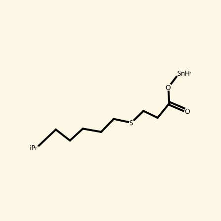 CC(C)CCCCCSCCC(=O)[O][SnH]